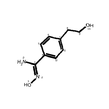 NC(=NO)c1ccc(CCO)cc1